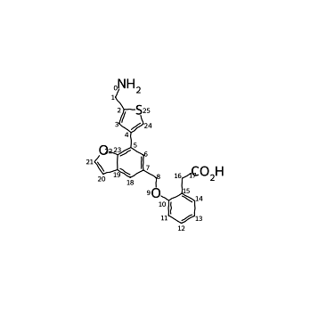 NCc1cc(-c2cc(COc3ccccc3CC(=O)O)cc3ccoc23)cs1